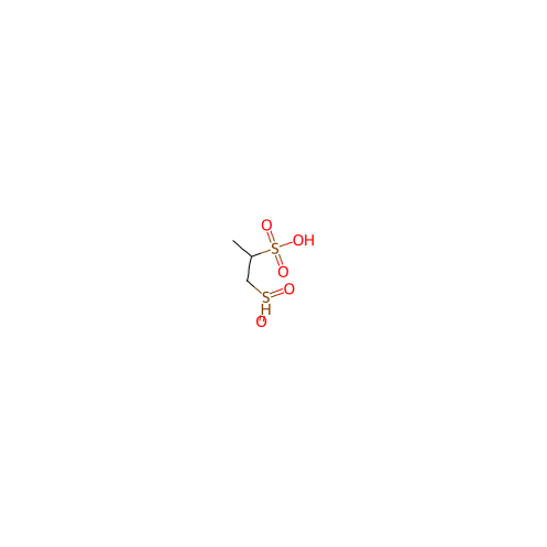 CC(C[SH](=O)=O)S(=O)(=O)O